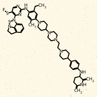 C=C1CCC(Nc2ccc(C3CCN(CCN4CCN(C5CCN(c6cc(CC)c(Nc7ncc(SF)c(N8SN9CCc%10cccc8c%109)n7)cc6C)CC5)CC4)CC3)cc2)C(=C)N1